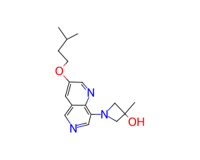 CC(C)CCOc1cnc2c(N3CC(C)(O)C3)cncc2c1